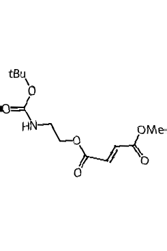 COC(=O)C=CC(=O)OCCNC(=O)OC(C)(C)C